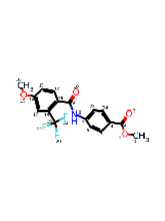 COC(=O)c1ccc(NC(=O)c2ccc(OC)cc2C(F)(F)F)cc1